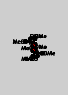 COc1ccc(C(=CN(C=C(c2ccc(OC)cc2)c2ccc(OC)cc2)c2ccc(-c3ccc(N(C=C(c4ccc(OC)cc4)c4ccc(OC)cc4)C=C(c4ccc(OC)cc4)c4ccc(OC)cc4)cc3)cc2)c2ccc(OC)cc2)cc1